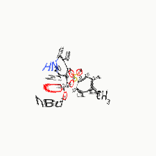 CCCCOC(=O)C(OS(=O)(=O)c1ccc(C)cc1)C1CCCNC1